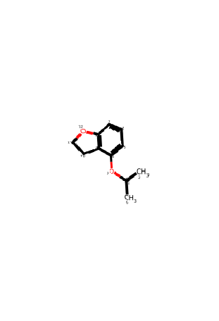 CC(C)Oc1cccc2c1CCO2